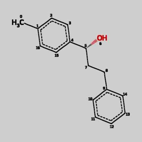 Cc1ccc([C@H](O)CCc2ccccc2)cc1